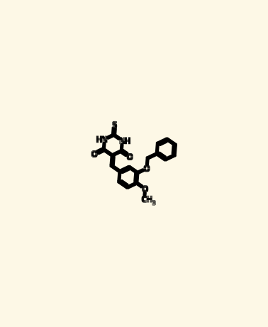 COc1ccc(C=C2C(=O)NC(=S)NC2=O)cc1OCc1ccccc1